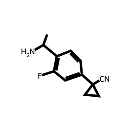 CC(N)c1ccc(C2(C#N)CC2)cc1F